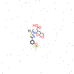 CN(C(=O)C(CC(=O)O)CC1CCOCC1)c1nc(-c2cccc(OC(F)(F)F)c2)cs1